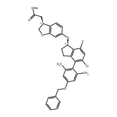 COC(=O)C[C@@H]1COc2cc(O[C@@H]3CCc4c(-c5c(C)cc(OCc6ccccc6)cc5C)c(Cl)cc(F)c43)ccc21